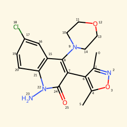 Cc1noc(C)c1-c1c(N2CCOCC2)c2cc(Cl)ccc2n(N)c1=O